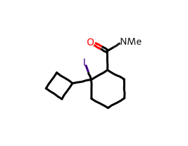 CNC(=O)C1CCCCC1(I)C1CCC1